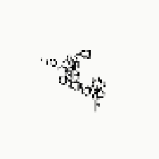 O=C(N[C@@H](CNC(=O)C1CCN(c2cccc(NC3=NC(F)CCN3)c2)CC1)C(=O)O)OCc1ccccc1